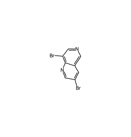 Brc1cnc2c(Br)cncc2c1